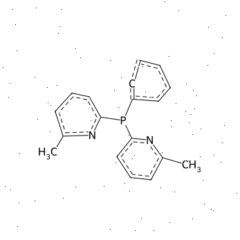 Cc1cccc(P(c2ccccc2)c2cccc(C)n2)n1